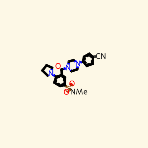 CNS(=O)(=O)c1ccc(N2CCCC2)c(C(=O)N2CCN(c3ccc(C#N)cc3)CC2)c1